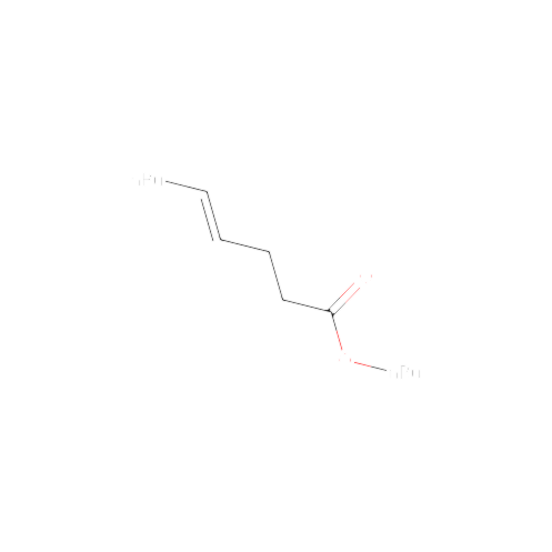 CCCC/C=C/CCC(=O)OCCCC